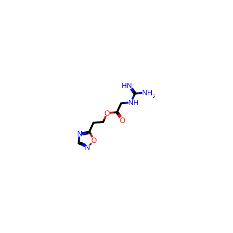 N=C(N)NCC(=O)OCCc1ncno1